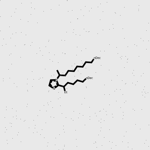 CCCCCCCCCCCCCCCCCC(C)n1ccnc1C(CC)CCCCCCCCCCCCCC